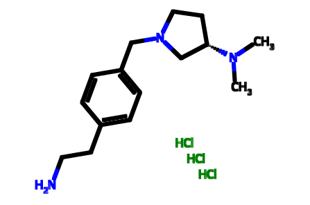 CN(C)[C@H]1CCN(Cc2ccc(CCN)cc2)C1.Cl.Cl.Cl